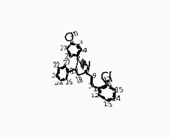 COc1ccc(N2N=C(/C=C/c3ccccc3Cl)CC2c2ccccc2)cc1